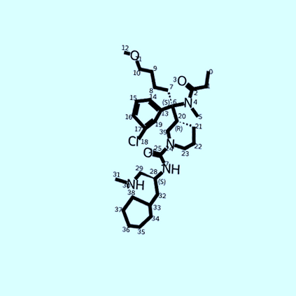 CCC(=O)N(C)[C@](CCCCOC)(c1cccc(Cl)c1)[C@@H]1CCCN(C(=O)N[C@H](CNC)CC2CCCCC2)C1